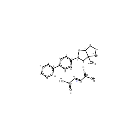 CC12CN(c3ccc(-c4ccccc4)nn3)CC1CCN2.O=C(O)/C=C/C(=O)O